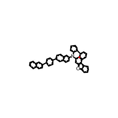 c1ccc(-c2ccccc2N(c2ccc3cc(-c4ccc(-c5ccc6ccccc6c5)cc4)ccc3c2)c2ccc3c(c2)oc2ccccc23)cc1